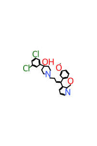 COc1ccc2c(c1)C(=CCCN1CCC(O)(c3cc(Cl)cc(Cl)c3)CC1)c1cccnc1CO2